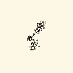 CC(OC(=O)Nc1cnoc1C#Cc1cc2cc(C3(C(=O)O)CC3)oc2o1)c1ccccc1